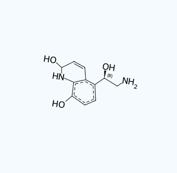 NC[C@H](O)c1ccc(O)c2c1C=CC(O)N2